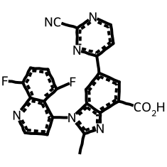 Cc1nc2c(C(=O)O)cc(-c3ccnc(C#N)n3)cc2n1-c1ccnc2c(F)ccc(F)c12